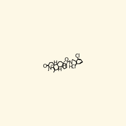 CC1=C2N(C)C(=O)CC[C@]2(C)[C@H]2CC[C@]3(C)[C@@H](C(=O)NCc4c(Cl)cccc4Cl)CC[C@H]3[C@@H]2C1